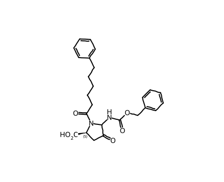 O=C(NC1C(=O)C[C@@H](C(=O)O)N1C(=O)CCCCCc1ccccc1)OCc1ccccc1